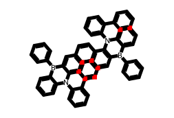 c1ccc(B2c3ccccc3N(c3ccccc3-c3ccccc3)c3c2cc2ccc4c5c(cc6ccc3c2c64)B(c2ccccc2)c2ccccc2N5c2ccccc2-c2ccccc2)cc1